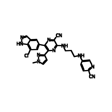 Cn1ccc(-c2nc(NCCCNc3ccc(C#N)nc3)c(C#N)nc2-c2cc(Cl)c3[nH]ncc3c2)n1